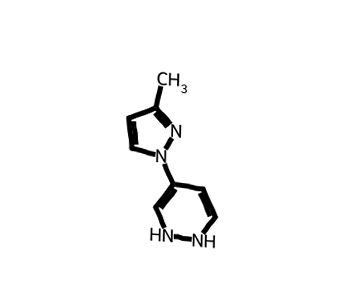 Cc1ccn(C2=CNNC=C2)n1